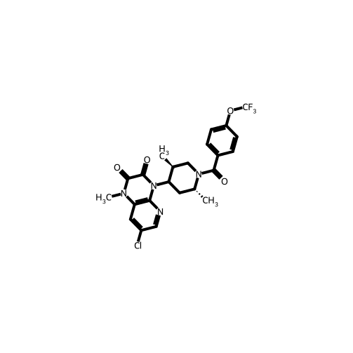 C[C@@H]1CC(n2c(=O)c(=O)n(C)c3cc(Cl)cnc32)[C@@H](C)CN1C(=O)c1ccc(OC(F)(F)F)cc1